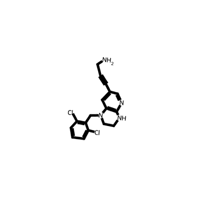 NCC#Cc1cnc2c(c1)N(Cc1c(Cl)cccc1Cl)CCN2